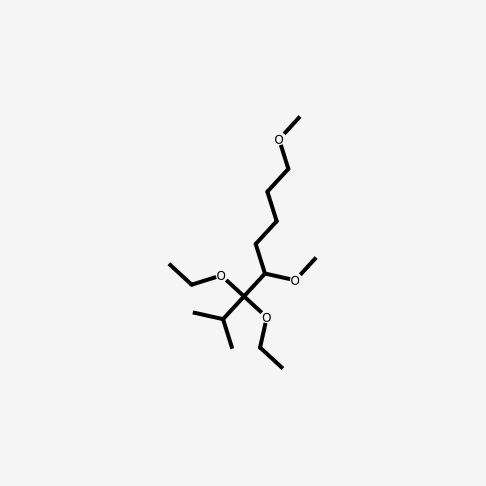 CCOC(OCC)(C(C)C)C(CCCCOC)OC